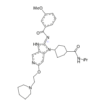 COc1cccc(C(=O)/N=c2\[nH]c3cnc(OCCN4CCCCC4)cc3n2C2CCC(C(=O)NC(C)C)CC2)c1